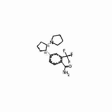 NC(=O)c1ccc([C@@H]2CCC[C@@H]2N2CCCC2)cc1C(F)(F)F